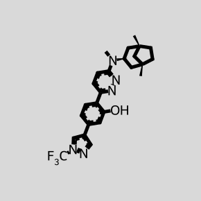 CN(c1ccc(-c2ccc(-c3cnn(C(F)(F)F)c3)cc2O)nn1)[C@H]1C[C@]2(C)CC[C@](C)(C1)C2